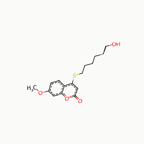 COc1ccc2c(SCCCCCCO)cc(=O)oc2c1